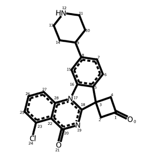 O=C1CC2(C1)c1ccc(C3CCNCC3)cc1-n1c2nc(=O)c2c(Cl)cccc21